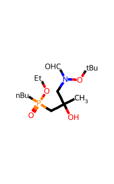 CCCCP(=O)(CC(C)(O)CN(C=O)OC(C)(C)C)OCC